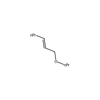 CCCC=CCOCCC